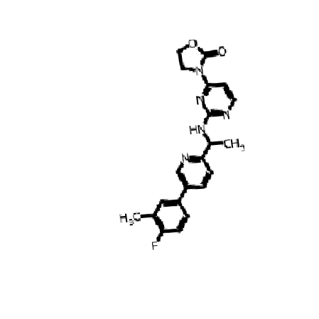 Cc1cc(-c2ccc(C(C)Nc3nccc(N4CCOC4=O)n3)nc2)ccc1F